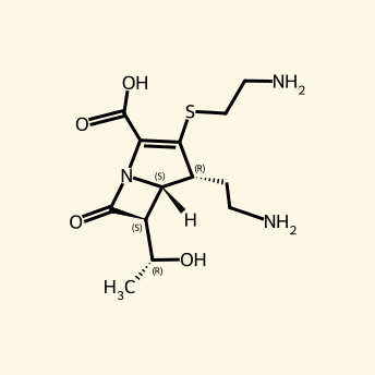 C[C@@H](O)[C@H]1C(=O)N2C(C(=O)O)=C(SCCN)[C@H](CCN)[C@H]12